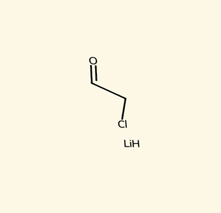 O=CCCl.[LiH]